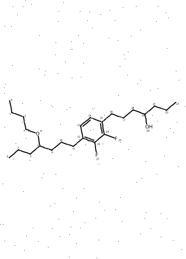 CCCCOC(CCC)CCCc1ccc(CCCC(O)CCC)c(F)c1F